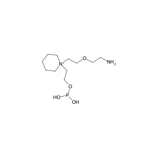 NCCOCC[N+]1(CCOP(O)O)CCCCC1